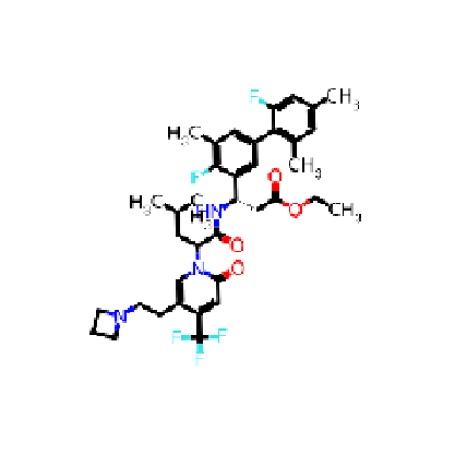 CCOC(=O)C[C@H](NC(=O)C(CC(C)C)n1cc(CCN2CCC2)c(C(F)(F)F)cc1=O)c1cc(-c2c(C)cc(C)cc2F)cc(C)c1F